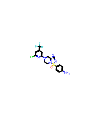 N#CN=S(=O)(c1ccc(N)cc1)N1CCN(c2cc(C(F)(F)F)cc(Cl)n2)CC1